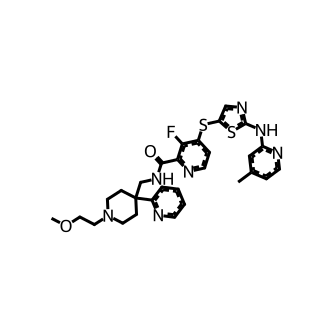 COCCN1CCC(CNC(=O)c2nccc(Sc3cnc(Nc4cc(C)ccn4)s3)c2F)(c2ccccn2)CC1